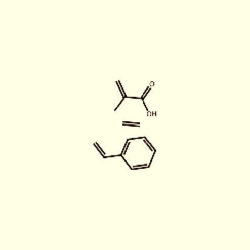 C=C.C=C(C)C(=O)O.C=Cc1ccccc1